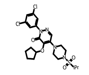 CC(C)S(=O)(=O)N1CCN(c2cnn(-c3cc(Cl)cc(Cl)c3)c(=O)c2OC2CCCC2)CC1